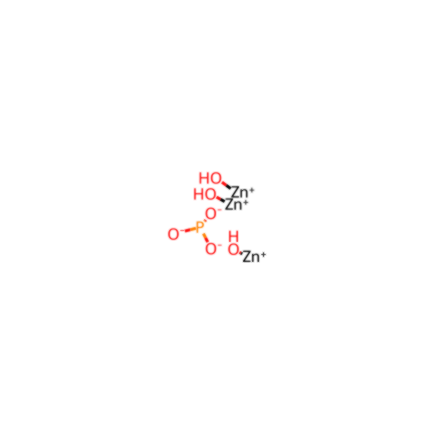 [O-]P([O-])[O-].[OH][Zn+].[OH][Zn+].[OH][Zn+]